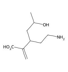 C=C(C(=O)O)C(CCN)CC(C)O